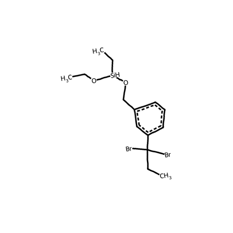 CCO[SiH](CC)OCc1cccc(C(Br)(Br)CC)c1